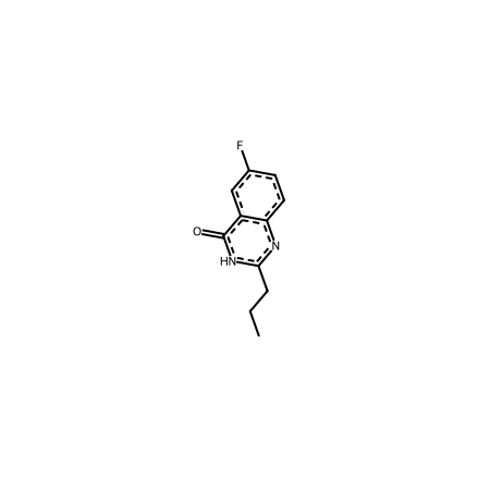 CCCc1nc2ccc(F)cc2c(=O)[nH]1